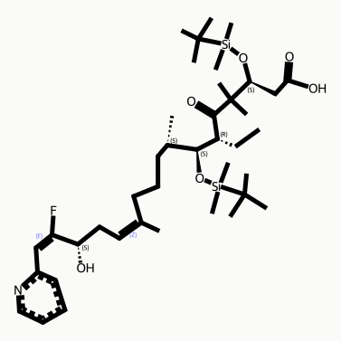 CC[C@@H](C(=O)C(C)(C)[C@H](CC(=O)O)O[Si](C)(C)C(C)(C)C)[C@@H](O[Si](C)(C)C(C)(C)C)[C@@H](C)CCC/C(C)=C\C[C@H](O)/C(F)=C\c1ccccn1